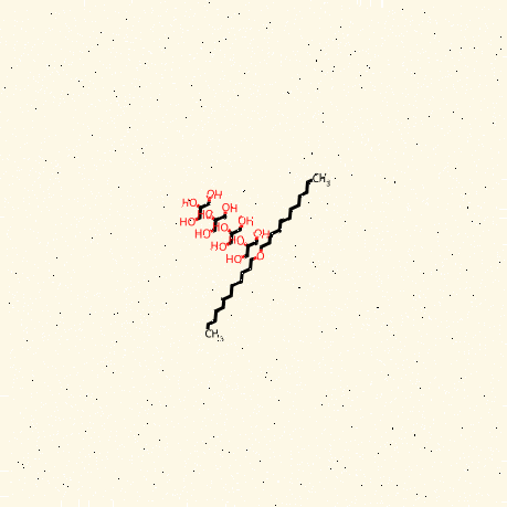 CCCCCCCCCCCCOCCCCCCCCCCCC.OCC(O)CO.OCC(O)CO.OCC(O)CO.OCC(O)CO